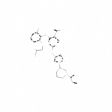 C=CC(=O)N1CCCC(n2cc(Nc3ncc(C(N)=O)c(Nc4c(C)cccc4OCC(C)C)n3)cn2)C1